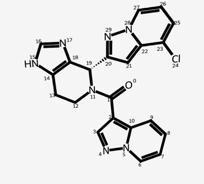 O=C(c1cnn2ccccc12)N1CCc2[nH]cnc2[C@@H]1c1cc2c(Cl)cccn2n1